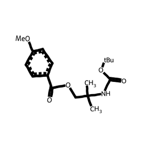 COc1ccc(C(=O)OCC(C)(C)NC(=O)OC(C)(C)C)cc1